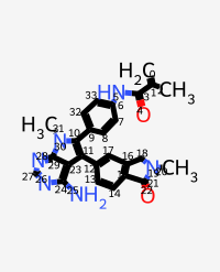 C=C(C)C(=O)Nc1ccc(-c2c(-c3ccc4c(c3)CN(C)C4=O)c3c(N)ncnc3n2C)cc1